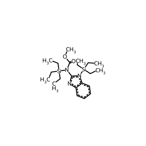 CC[Si](CC)(CC)N(C(=O)OC)c1nc2ccccc2n1[Si](CC)(CC)CC